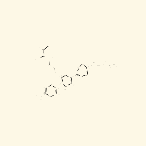 C=C(C)C(=O)OCCOc1cc(-c2ccc(CCCCC)cc2)ccc1-c1ccc(CO)cc1